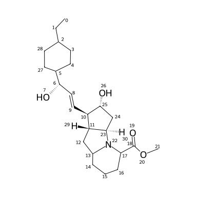 CCC1CCC([C@@H](O)/C=C/[C@@H]2[C@H]3CC4CCCC(C(=O)OC)N4[C@@H]3C[C@H]2O)CC1